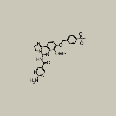 COc1c(OCc2ccc(S(C)(=O)=O)cc2)ccc2c1N=C(NC(=O)c1cnc(N)nc1)N1CCN=C21